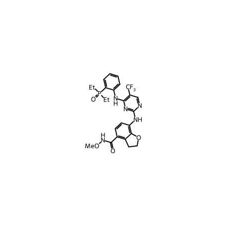 CCP(=O)(CC)c1ccccc1Nc1nc(Nc2ccc(C(=O)NOC)c3c2OCC3)ncc1C(F)(F)F